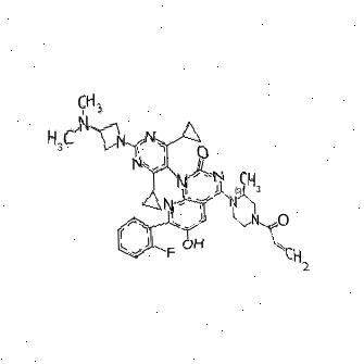 C=CC(=O)N1CCN(c2nc(=O)n(-c3c(C4CC4)nc(N4CC(N(C)C)C4)nc3C3CC3)c3nc(-c4ccccc4F)c(O)cc23)[C@@H](C)C1